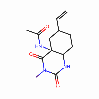 C=CC1CCC2NC(=O)N(I)C(=O)[C@@]2(NC(C)=O)C1